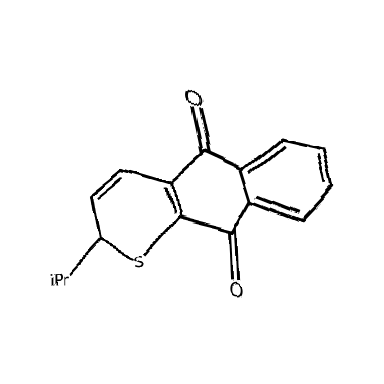 CC(C)C1C=CC2=C(S1)C(=O)c1ccccc1C2=O